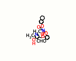 Cc1ncc(COc2ccccc2O/[P+]([O-])=N/C(C)C(=O)Oc2ccc3c(c2)CCCC3)c(C=O)c1O